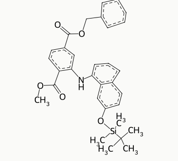 COC(=O)c1ccc(C(=O)OCc2ccccc2)cc1Nc1cccc2ccc(O[Si](C)(C)C(C)(C)C)cc12